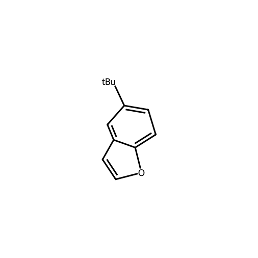 CC(C)(C)c1ccc2occc2c1